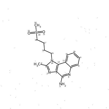 Cc1nc2c(N)nc3ccccc3c2n1CCCCS(C)(=O)=O